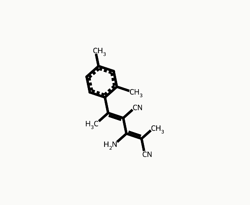 C/C(C#N)=C(N)\C(C#N)=C(/C)c1ccc(C)cc1C